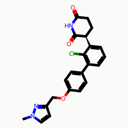 Cn1ccc(COc2ccc(-c3cccc([C@@H]4CCC(=O)NC4=O)c3Cl)cc2)n1